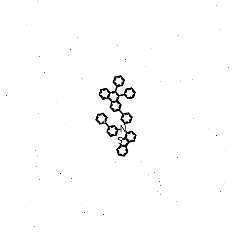 c1ccc(-c2cccc(N(c3cccc(-c4ccc5c(c4)c(-c4ccccc4)c(-c4ccccc4)c4ccccc45)c3)c3cccc4c3sc3ccccc34)c2)cc1